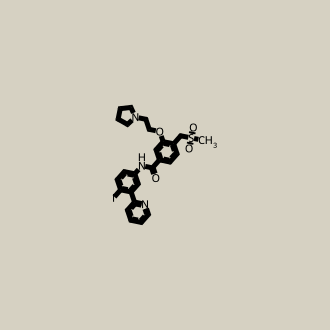 CS(=O)(=O)Cc1ccc(C(=O)Nc2ccc(I)c(-c3ccccn3)c2)cc1OCCN1CCCC1